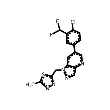 Cc1nnc(Cn2ncc3ncc(-c4ccc(Cl)c(C(F)F)c4)cc32)s1